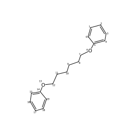 [c]1ccccc1OCCCCCCOc1ccccc1